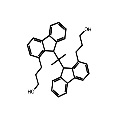 CC(C)(C1c2ccccc2-c2cccc(CCCO)c21)C1c2ccccc2-c2cccc(CCCO)c21